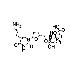 NC=CCc1cn([C@@H]2CC[C@H](COP(=O)(O)OP(=O)(O)OP(=O)(O)O)O2)c(=O)[nH]c1=O